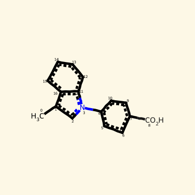 Cc1cn(-c2ccc(C(=O)O)cc2)c2ccccc12